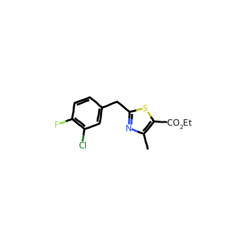 CCOC(=O)c1sc(Cc2ccc(F)c(Cl)c2)nc1C